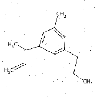 C=C[C](C)c1cc(C)cc(CCC)c1